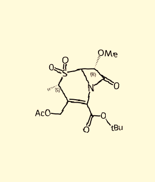 CO[C@@H]1C(=O)N2C(C(=O)OC(C)(C)C)=C(COC(C)=O)[C@H](C)S(=O)(=O)C12